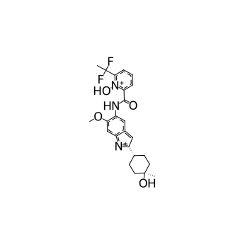 COc1cc2c(cc1NC(=O)c1cccc(C(C)(F)F)[n+]1O)=CC([C@H]1CC[C@](C)(O)CC1)=[N+]=2